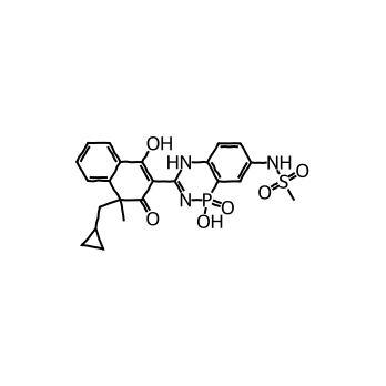 CC1(CC2CC2)C(=O)C(C2=NP(=O)(O)c3cc(NS(C)(=O)=O)ccc3N2)=C(O)c2ccccc21